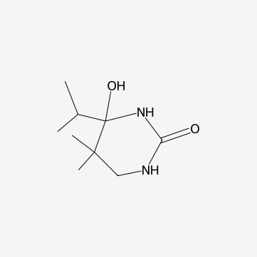 CC(C)C1(O)NC(=O)NCC1(C)C